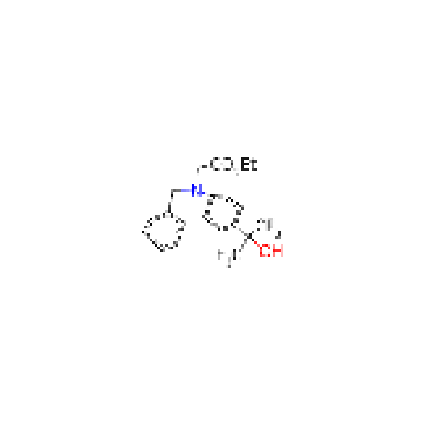 CCOC(=O)CN(Cc1ccccc1)c1ccc(C(O)(C(F)(F)F)C(F)(F)F)cc1